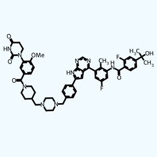 COc1ccc(C(=O)N2CCC(CN3CCN(Cc4ccc(-c5cc6c(-c7cc(F)cc(NC(=O)c8ccc(C(C)(C)O)cc8F)c7C)ncnc6[nH]5)cc4)CC3)CC2)cc1N1CCC(=O)NC1=O